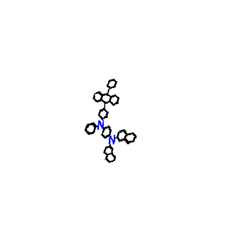 c1ccc(-c2c3ccccc3c(-c3ccc(N(c4ccccc4)c4ccc(N(c5ccc6ccccc6c5)c5ccc6ccccc6c5)cc4)cc3)c3ccccc23)cc1